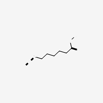 O=C=NCCCCCC(=O)OBr